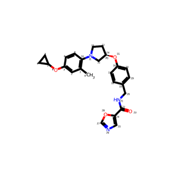 Cc1cc(OC2CC2)ccc1N1CC[C@@H](Oc2ccc(CNC(=O)c3cnco3)cc2)C1